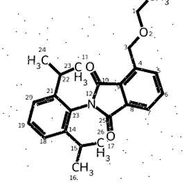 CCOCc1cccc2c1C(=O)N(c1c(C(C)C)cccc1C(C)C)C2=O